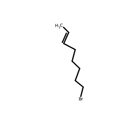 C/C=C/CCCCCBr